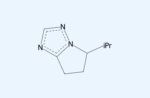 CC(C)C1CCc2ncnn21